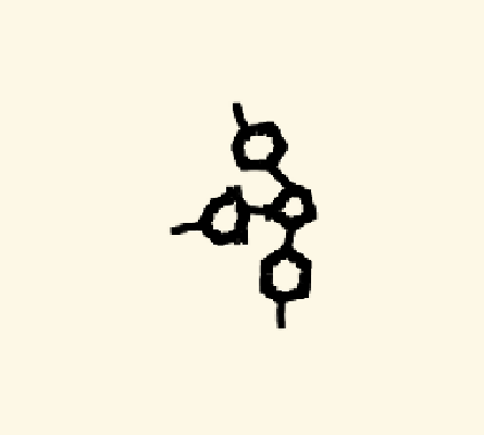 Cc1ccc(-c2ccc(-c3ccc(C)cc3)n2-c2ncc(C)cn2)cc1